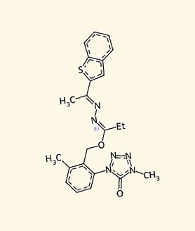 CC/C(=N\N=C(C)c1cc2ccccc2s1)OCc1c(C)cccc1-n1nnn(C)c1=O